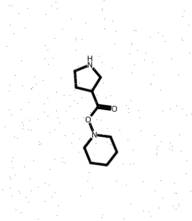 O=C(ON1CCCCC1)C1CCNC1